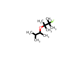 CC(C)C(C)OC(C)(C)C(C)(C)F